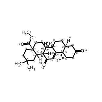 COC(=O)[C@]12CCC(C)(C)C[C@H]1[C@H]1C(=O)C=C3[C@@]4(C)CCC(=O)C[C@@H]4CC[C@@]3(C)[C@]1(C)CC2